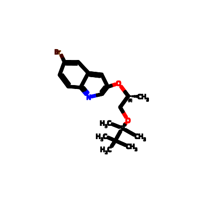 C[C@H](CO[Si](C)(C)C(C)(C)C)Oc1cnc2ccc(Br)cc2c1